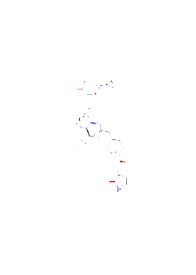 CN1CCC(OC(=O)N2CCC(Cc3nc(N)c4ncn(CO[C@H](C(=O)NC5CC5)C(O)CO)c4n3)CC2)C1=O